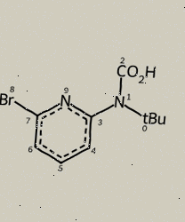 CC(C)(C)N(C(=O)O)c1cccc(Br)n1